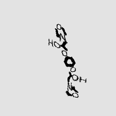 OC(COc1ccc(OCC(O)CN2CCOCC2)cc1)CN1CCOCC1